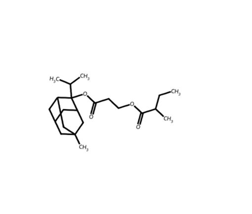 CCC(C)C(=O)OCCC(=O)OC1(C(C)C)C2CC3CC1CC(C)(C3)C2